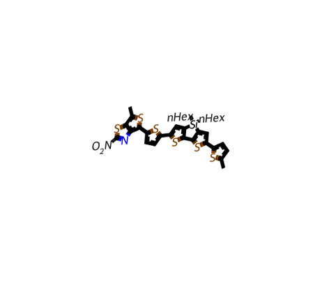 CCCCCC[Si]1(CCCCCC)c2cc(-c3ccc(C)s3)sc2-c2sc(-c3ccc(-c4sc(C)c5sc([N+](=O)[O-])nc45)s3)cc21